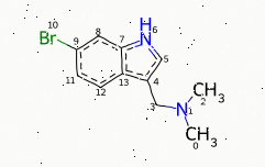 CN(C)Cc1c[nH]c2cc(Br)ccc12